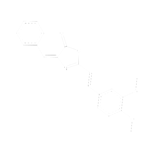 COc1ccc(C=CC2=NC(=Cc3ccccc3)C(=O)O2)cc1OC